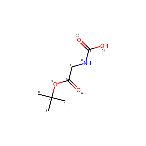 CC(C)(C)OC(=O)CNC(=O)O